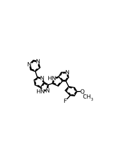 COc1cc(F)cc(-c2cncc3[nH]c(-c4n[nH]c5ccc(-c6cncnc6)nc45)cc23)c1